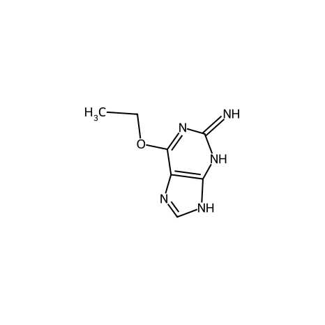 CCOc1nc(=N)[nH]c2[nH]cnc12